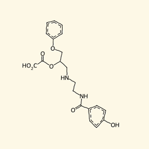 O=C(O)C(=O)OC(CNCCNC(=O)c1ccc(O)cc1)COc1ccccc1